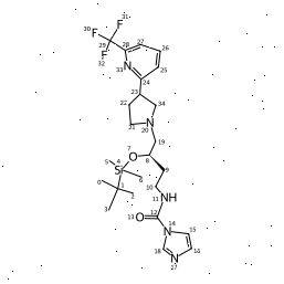 CC(C)(C)[Si](C)(C)O[C@H](CCNC(=O)n1ccnc1)CN1CCC(c2cccc(C(F)(F)F)n2)C1